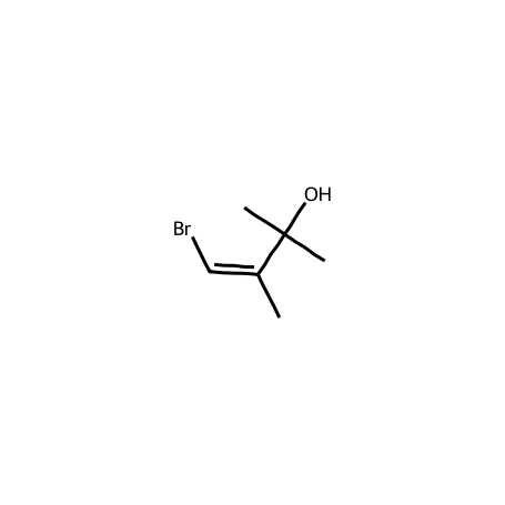 CC(=CBr)C(C)(C)O